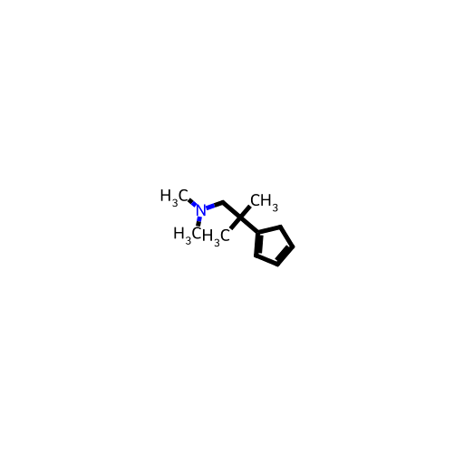 CN(C)CC(C)(C)C1=CC=CC1